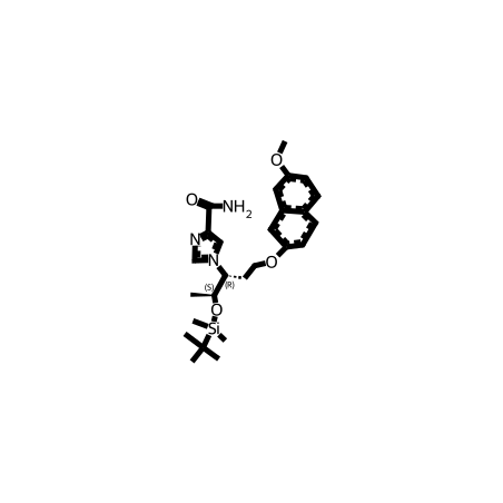 COc1ccc2ccc(OCC[C@H]([C@H](C)O[Si](C)(C)C(C)(C)C)n3cnc(C(N)=O)c3)cc2c1